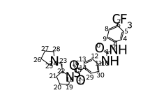 O=C(Nc1ccc(C(F)(F)F)cc1)Nc1ccc(S(=O)(=O)N2CCC[C@H]2CN2CCCC2)cc1